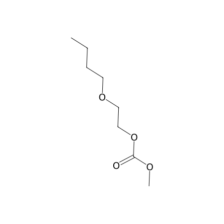 CCCCOCCOC(=O)OC